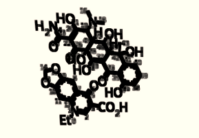 CCn1cc(C(=O)O)c(=O)c2cc3c(cc21)OCO3.CN(C)[C@@H]1C(O)=C(C(N)=O)C(=O)[C@@]2(O)C(O)=C3C(=O)c4c(O)cccc4[C@@](C)(O)[C@H]3[C@H](O)[C@@H]12